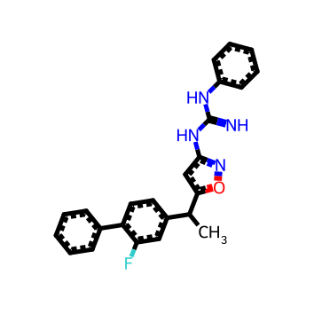 CC(c1ccc(-c2ccccc2)c(F)c1)c1cc(NC(=N)Nc2ccccc2)no1